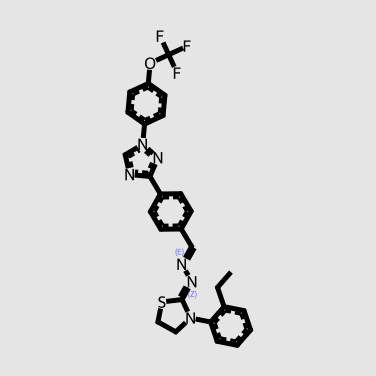 CCc1ccccc1N1CCS/C1=N\N=C\c1ccc(-c2ncn(-c3ccc(OC(F)(F)F)cc3)n2)cc1